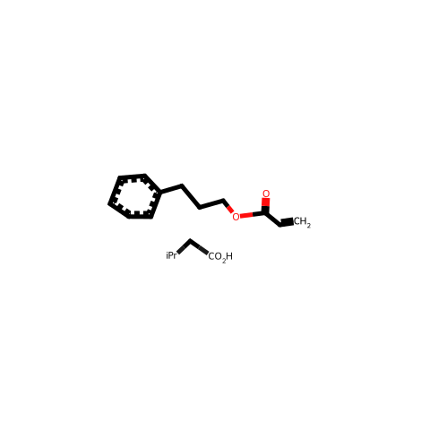 C=CC(=O)OCCCc1ccccc1.CC(C)CC(=O)O